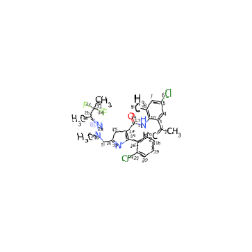 C=C(C)c1cc(Cl)cc(C)c1NC(=O)C1=C(c2ccccc2Cl)N=C(CN(C)/N=C(\C)C(C)(F)F)C1